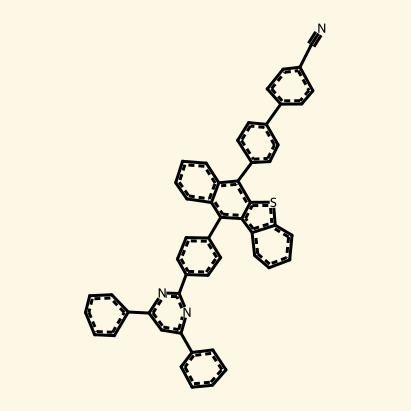 N#Cc1ccc(-c2ccc(-c3c4ccccc4c(-c4ccc(-c5nc(-c6ccccc6)cc(-c6ccccc6)n5)cc4)c4c3sc3ccccc34)cc2)cc1